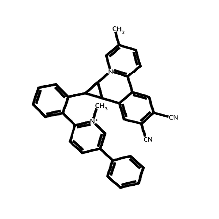 Cc1ccc2[n+](c1)C1C(c3ccccc3-c3ccc(-c4ccccc4)c[n+]3C)C1c1cc(C#N)c(C#N)cc1-2